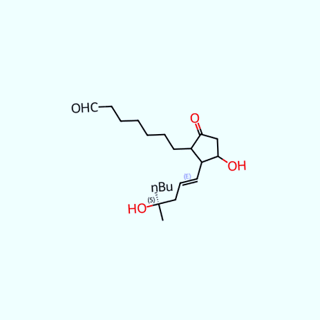 CCCC[C@](C)(O)C/C=C/C1C(O)CC(=O)C1CCCCCCC=O